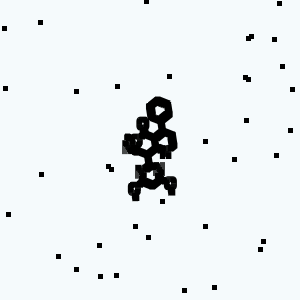 COC(=O)c1c(-c2ccccc2)ccnc1C(C#N)c1nc(OC)cc(OC)n1